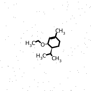 CCO[C@@H]1C=C(C)CC[C@H]1C(C)C